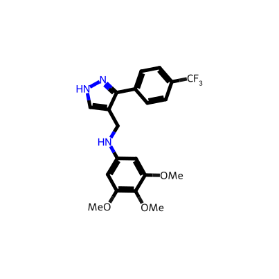 COc1cc(NCc2c[nH]nc2-c2ccc(C(F)(F)F)cc2)cc(OC)c1OC